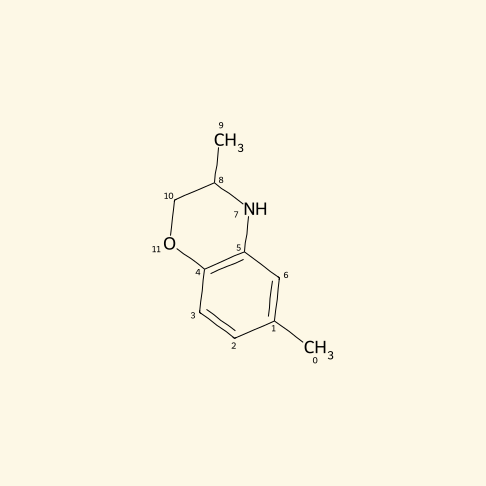 Cc1ccc2c(c1)NC(C)CO2